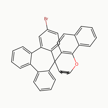 Brc1ccc2c(c1)-c1ccccc1-c1ccccc1C21c2ccccc2Oc2c1ccc1ccccc21